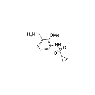 COc1c(NS(=O)(=O)C2CC2)ccnc1CN